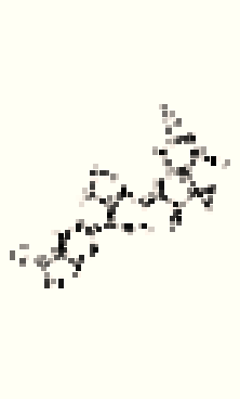 COC(=O)c1cc(NC(=O)C2(c3ccc(C(F)(F)F)cc3F)CC2)ccc1-c1ccc(C(C)O)nc1